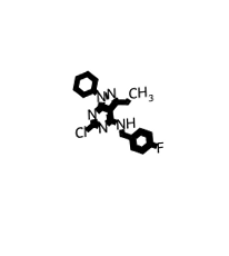 CCc1nn(C2CCCCC2)c2nc(Cl)nc(NCc3ccc(F)cc3)c12